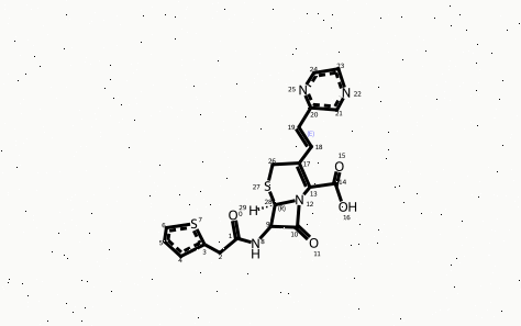 O=C(Cc1cccs1)NC1C(=O)N2C(C(=O)O)=C(/C=C/c3cnccn3)CS[C@H]12